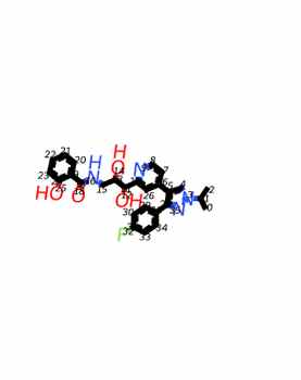 CC(C)n1cc(-c2ccnc(C(O)C(O)CNC(=O)c3ccccc3O)c2)c(-c2ccc(F)cc2)n1